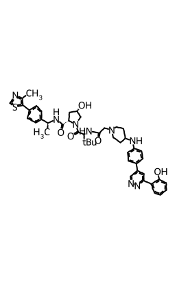 Cc1ncsc1-c1ccc([C@H](C)NC(=O)[C@@H]2C[C@@H](O)CN2C(=O)C(NC(=O)CN2CCC(Nc3ccc(-c4cnnc(-c5ccccc5O)c4)cc3)CC2)C(C)(C)C)cc1